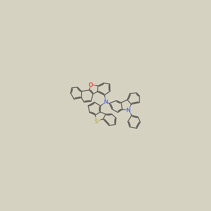 c1ccc(-n2c3ccccc3c3cc(N(c4cccc5oc6c7ccccc7ccc6c45)c4cccc5sc6ccccc6c45)ccc32)cc1